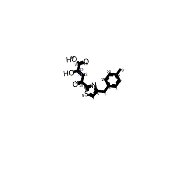 Cc1ccc(Cc2csc(C(=O)/C=C(\O)C(=O)O)n2)cc1